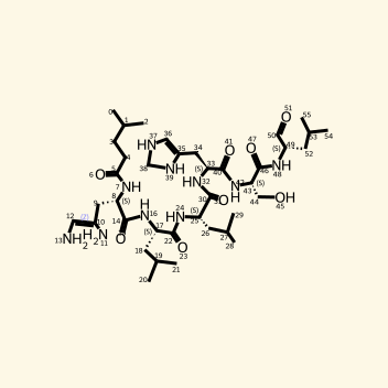 CC(C)CCC(=O)N[C@@H](C/C(N)=C/N)C(=O)N[C@@H](CC(C)C)C(=O)N[C@@H](CC(C)C)C(=O)N[C@@H](CC1=CNCN1)C(=O)N[C@@H](CO)C(=O)N[C@H](C=O)CC(C)C